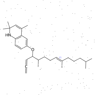 C=C=CC(Oc1ccc2c(c1)C(C)=CC(C)(C)N2)C(C)CC/C=C(\C)CCCC(C)C